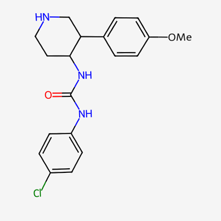 COc1ccc(C2CNCCC2NC(=O)Nc2ccc(Cl)cc2)cc1